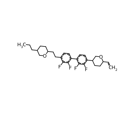 C=CC1CCC(c2ccc(-c3ccc(CCC4CCC(CCC)CO4)c(F)c3F)c(F)c2F)CO1